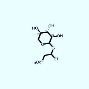 CCCCCCCCCC(CC)SC1OC[C@@H](O)[C@H](O)[C@H]1O